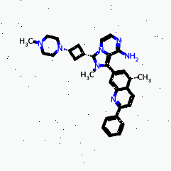 C[C@H]1C=C(C2=C3C(N)=NC=CN3C([C@H]3C[C@@H](N4CCN(C)CC4)C3)N2C)C=C2N=C(c3ccccc3)C=CC21